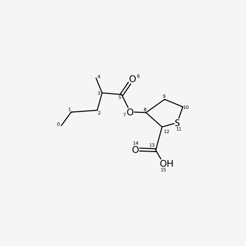 CCCC(C)C(=O)OC1CCSC1C(=O)O